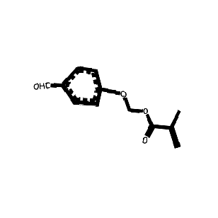 C=C(C)C(=O)OCOc1ccc(C=O)cc1